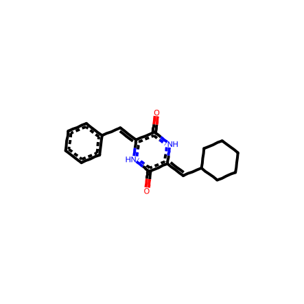 O=c1[nH]/c(=C\C2CCCCC2)c(=O)[nH]/c1=C\c1ccccc1